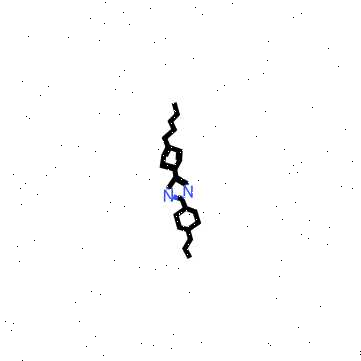 CCCCCc1ccc(-c2cnc(C3CCC(CCC)CC3)nc2)cc1